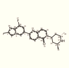 Cc1cn2cc(-c3ccc4c(=O)n(C5C[C@H](C)N[C@@H](C)C5)ccc4n3)cc(F)c2n1